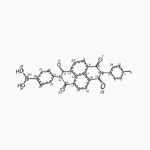 Cc1ccc(N2C(=O)c3ccc4c5c(ccc(c35)C2=O)C(=O)N(c2ccc(B(O)O)cc2)C4=O)cc1